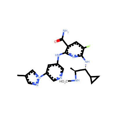 Cc1cnn(-c2cncc(Nc3nc(N[C@H](C4CC4)[C@H](C)NC(=O)O)c(F)cc3C(N)=O)c2)c1